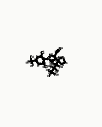 N#Cc1nn(-c2c(Cl)cc(C(F)(F)F)cc2Cl)cc1C1(C(F)(F)C(F)(F)C(F)(F)F)CCN=N1